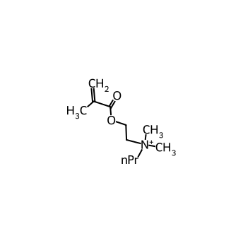 C=C(C)C(=O)OCC[N+](C)(C)CCC